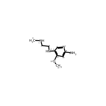 CNCCNc1cnc(N)cc1OC